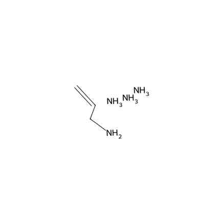 C=CCN.N.N.N